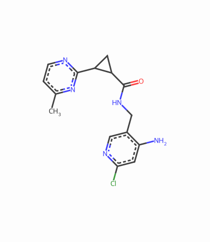 Cc1ccnc(C2CC2C(=O)NCc2cnc(Cl)cc2N)n1